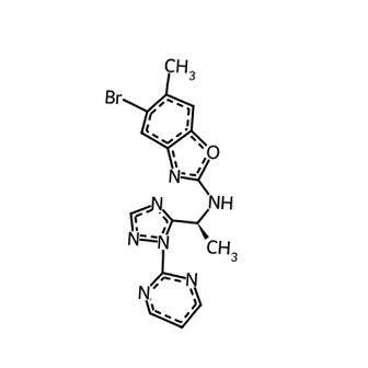 Cc1cc2oc(N[C@@H](C)c3ncnn3-c3ncccn3)nc2cc1Br